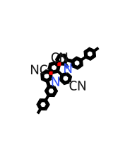 Cc1ccc(-c2ccc3c(c2)c2ccccc2n3-c2cc(C#N)cc(-n3c4ccccc4c4cc(-c5ccc(C)cc5)ccc43)c2-c2cc(C#N)cc(C#N)c2)cc1